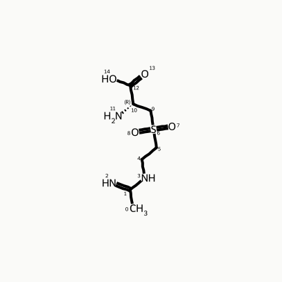 CC(=N)NCCS(=O)(=O)C[C@H](N)C(=O)O